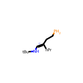 CCC/C(=C\NC(C)(C)C)CCP